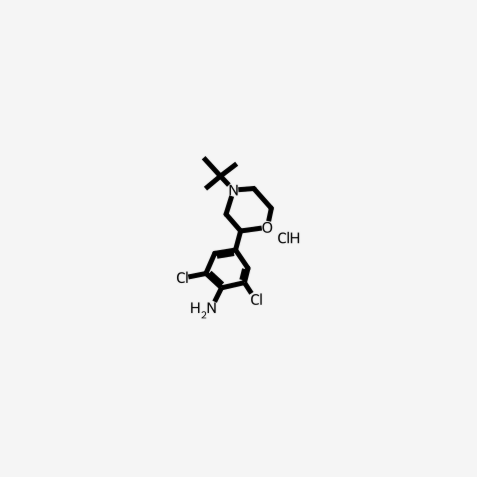 CC(C)(C)N1CCOC(c2cc(Cl)c(N)c(Cl)c2)C1.Cl